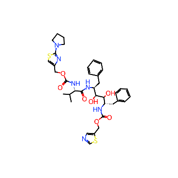 CC(C)[C@H](NC(=O)OCc1csc(N2CCCC2)n1)C(=O)N[C@@H](Cc1ccccc1)[C@H](O)[C@@H](O)[C@H](Cc1ccccc1)NC(=O)OCc1cncs1